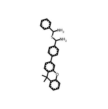 CC1(C)c2ccccc2Oc2cc(-c3ccc(C(N)SC(N)c4ccccc4)cc3)ccc21